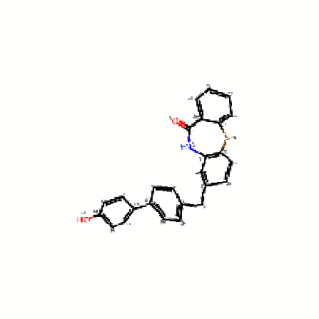 O=C1Nc2cc(Cc3ccc(-c4ccc(O)cc4)cc3)ccc2Sc2ccccc21